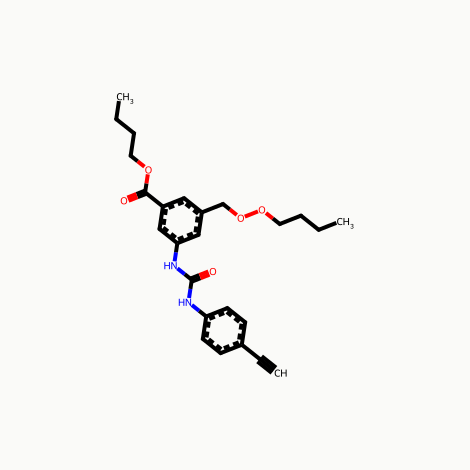 C#Cc1ccc(NC(=O)Nc2cc(COOCCCC)cc(C(=O)OCCCC)c2)cc1